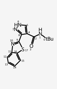 CC(C)(C)NC(=O)c1c[nH]nc1-c1nc2ccccc2s1